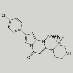 CCCCCn1c(N2CCNC[C@H]2C(=O)O)cc(=O)n2cc(-c3ccc(Cl)cc3)nc12